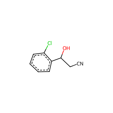 N#CCC(O)c1ccccc1Cl